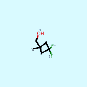 [CH2]C1(CO)CC(F)(F)C1